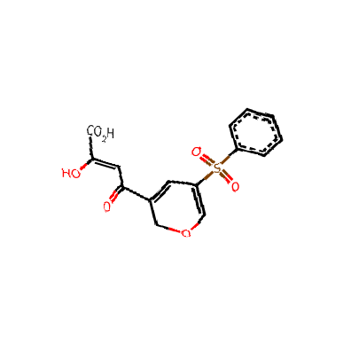 O=C(O)C(O)=CC(=O)C1=CC(S(=O)(=O)c2ccccc2)=COC1